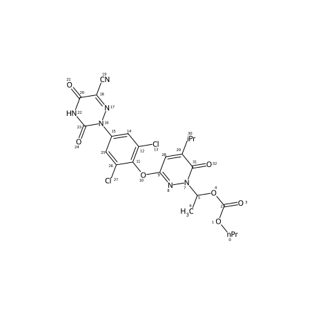 CCCOC(=O)OC(C)n1nc(Oc2c(Cl)cc(-n3nc(C#N)c(=O)[nH]c3=O)cc2Cl)cc(C(C)C)c1=O